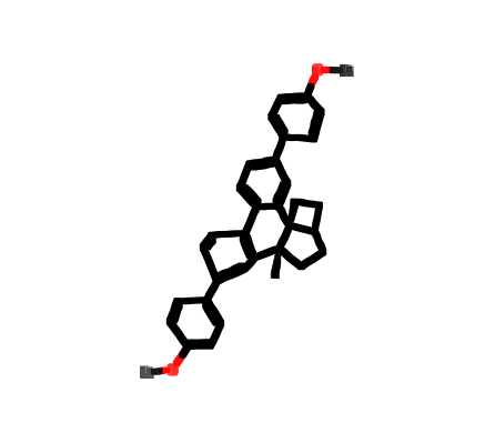 CCOc1ccc(-c2ccc3c(c2)[C@@]2(C)CCC4CC[C@@]42c2cc(-c4ccc(OCC)cc4)ccc2-3)cc1